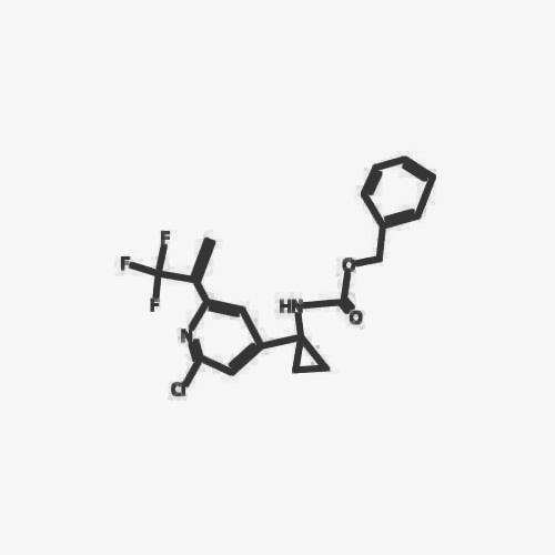 C=C(c1cc(C2(NC(=O)OCc3ccccc3)CC2)cc(Cl)n1)C(F)(F)F